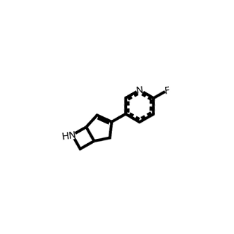 Fc1ccc(C2=CC3NCC3C2)cn1